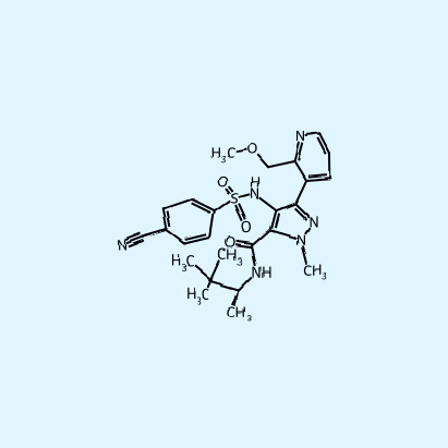 COCc1ncccc1-c1nn(C)c(C(=O)N[C@@H](C)C(C)(C)C)c1NS(=O)(=O)c1ccc(C#N)cc1